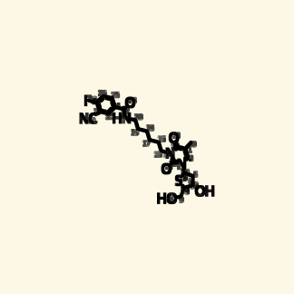 Cc1cn([C@H]2C[C@H](O)[C@@H](CO)S2)c(=O)n(CCCCCCNC(=O)c2ccc(F)c(C#N)c2)c1=O